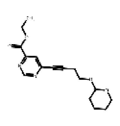 CCOC(=O)c1cc(C#CCCOC2CCCCO2)ncn1